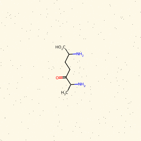 CC(N)C(=O)CCC(N)C(=O)O